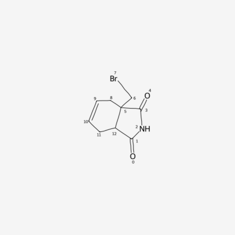 O=C1NC(=O)C2(CBr)CC=CCC12